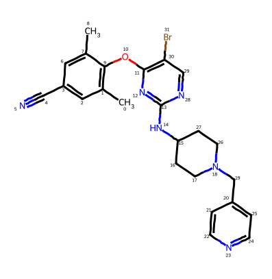 Cc1cc(C#N)cc(C)c1Oc1nc(NC2CCN(Cc3ccncc3)CC2)ncc1Br